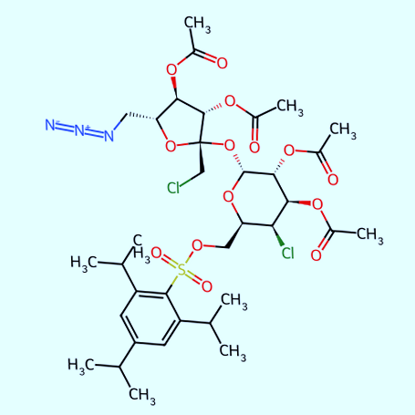 CC(=O)O[C@@H]1[C@@H](CN=[N+]=[N-])O[C@@](CCl)(O[C@H]2O[C@H](COS(=O)(=O)c3c(C(C)C)cc(C(C)C)cc3C(C)C)[C@H](Cl)[C@H](OC(C)=O)[C@H]2OC(C)=O)[C@H]1OC(C)=O